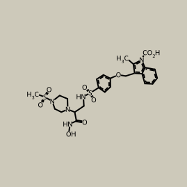 Cc1c(COc2ccc(S(=O)(=O)NCC(C(=O)NO)N3CCN(S(C)(=O)=O)CC3)cc2)c2ccccc2n1C(=O)O